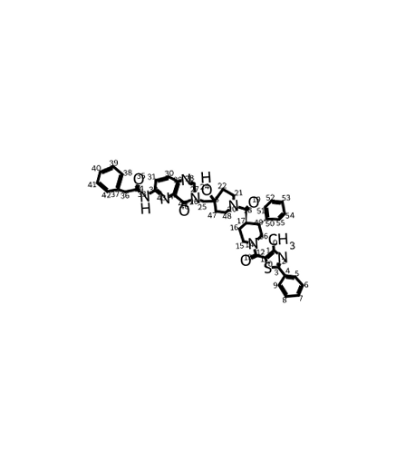 Cc1nc(-c2ccccc2)sc1C(=O)N1CC[C@@H](C(=O)N2CCC(O)(Cn3cnc4ccc(NC(=O)Cc5ccccc5)nc4c3=O)CC2)[C@H](c2ccccc2)C1